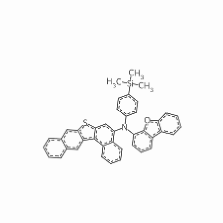 C[Si](C)(C)c1ccc(N(c2cc3sc4cc5ccccc5cc4c3c3ccccc23)c2cccc3c2oc2ccccc23)cc1